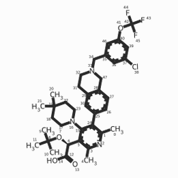 Cc1nc(C)c([C@H](OC(C)(C)C)C(=O)O)c(N2CCC(C)(C)CC2)c1-c1ccc2c(c1)CCN(Cc1cc(Cl)cc(OC(F)(F)F)c1)C2